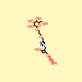 OCC1OC(OCCCOCc2cn(CC3C(O)CC3COOOOO)nn2)C(O)C(O)C1O